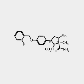 CC(C)(C)C1C[C@H](c2ccc(OCc3ccccc3F)cc2)N(C(=O)O)[C@]1(C)C(N)=O